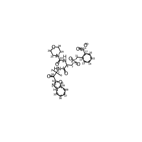 CC(C)(NC(=O)C(CS(=O)(=O)Cc1ccccc1[N+](=O)[O-])NC(=O)N1CCOCC1)C(=O)c1nc2ccccc2o1